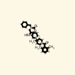 CCCCC1CN(CC2CCCCC2)C(=O)OC12CCN(C1(C)CCN(C(=O)c3c(C)cccc3C)CC1)CC2